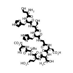 CC[C@H](C)[C@H](NC(=O)[C@H](CCC(=O)O)NC(=O)[C@@H](NC(=O)[C@H](CC(=O)O)NC(=O)CNC(=O)[C@H](Cc1c[nH]cn1)NC(=O)[C@H](CO)NC(=O)[C@H](Cc1c[nH]cn1)NC(=O)[C@@H](N)CO)[C@@H](C)O)C(=O)N[C@@H](CS)C(=O)O